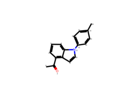 CC(=O)c1cccc2c1ccn2-c1ccc(C)cc1